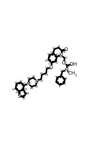 CN(Cc1ccccc1)C(O)OCN1C(=O)CCc2ccc(OCCCCN3CCN(c4cccc5sccc45)CC3)cc21